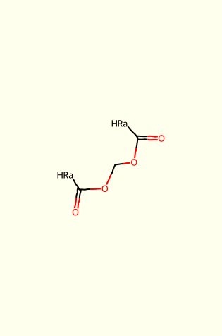 O=[C]([RaH])OCO[C](=O)[RaH]